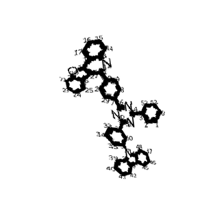 c1ccc(-c2nc(-c3ccc(-c4nc5ccccc5c5oc6ccccc6c45)cc3)nc(-c3cccc(-n4c5ccccc5c5ccccc54)c3)n2)cc1